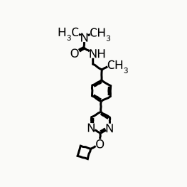 CC(CNC(=O)N(C)C)c1ccc(-c2cnc(OC3CCC3)nc2)cc1